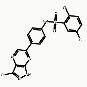 CCc1n[nH]c2nc(-c3ccc(NS(=O)(=O)c4cc(Cl)ccc4Cl)cc3)cnc12